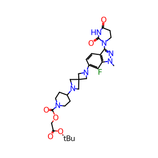 Cn1nc(N2CCC(=O)NC2=O)c2ccc(N3CC4(C3)CN(C3CCN(C(=O)OCC(=O)OC(C)(C)C)CC3)C4)c(F)c21